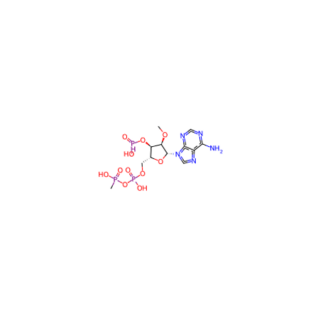 CO[C@@H]1[C@H](O[PH](=O)O)[C@@H](COP(=O)(O)OP(C)(=O)O)O[C@H]1n1cnc2c(N)ncnc21